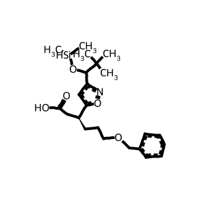 C[SiH](C)OC(c1cc([C@@H](CCCOCc2ccccc2)CC(=O)O)on1)C(C)(C)C